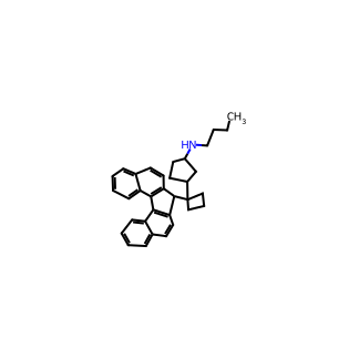 CCCCNC1CCC(C2(C3c4ccc5ccccc5c4-c4c3ccc3ccccc43)CCC2)C1